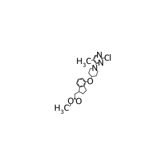 CCOC(=O)CC1CCc2c(OC3CCN(c4nc(Cl)ncc4C)CC3)cccc21